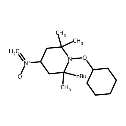 C=[N+]([O-])C1CC(C)(C)N(OC2CCCCC2)C(C)(CCCC)C1